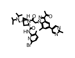 CC(=O)c1nn(CC(=O)N2[C@H](C(=O)Nc3nc(Br)ccc3C)C[C@@]3(CN(C(C)C)C(C)C)C[C@@H]23)c2c(C)cc(-c3cnc(C)nc3)cc12